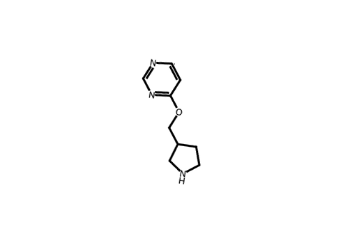 [c]1cc(OCC2CCNC2)ncn1